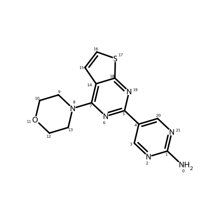 Nc1ncc(-c2nc(N3CCOCC3)c3ccsc3n2)cn1